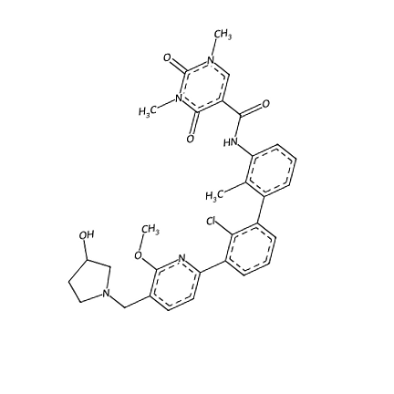 COc1nc(-c2cccc(-c3cccc(NC(=O)c4cn(C)c(=O)n(C)c4=O)c3C)c2Cl)ccc1CN1CCC(O)C1